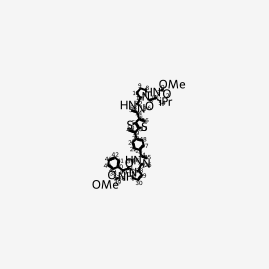 COC(=O)N[C@H](C(=O)N1CCCC1c1nc(-c2csc3c(-c4ccc(-c5cnc(C6C=CCN6C(=O)[C@H](NC(=O)OC)c6ccccc6)[nH]5)cc4)csc23)c[nH]1)C(C)C